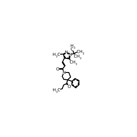 CCCC(=O)C1(c2ccccc2)CCN(C(=O)C=Cc2c(C)nn(C(C)(C)C)c2C)CC1